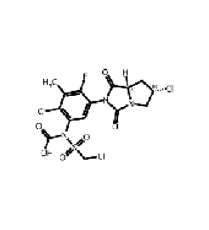 Cc1c(F)c(N2C(=O)[C@@H]3C[C@H](Cl)CN3C2=O)cc(N(C(=O)O)S(=O)(=O)CCl)c1Cl